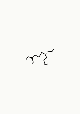 CCC[C@H](CCO)CCCN(CC)CC